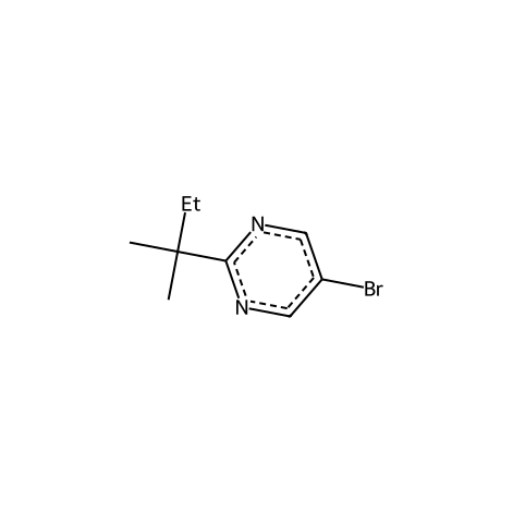 CCC(C)(C)c1ncc(Br)cn1